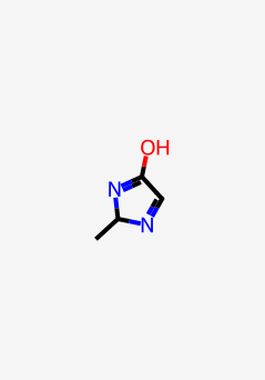 CC1N=CC(O)=N1